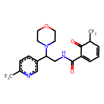 O=C(NCC(c1ccc(C(F)(F)F)nc1)N1CCOCC1)C1=CC=CC(C(F)(F)F)C1=O